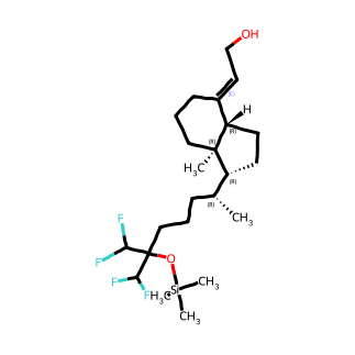 C[C@H](CCCC(O[Si](C)(C)C)(C(F)F)C(F)F)[C@H]1CC[C@H]2/C(=C/CO)CCC[C@]12C